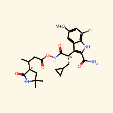 COc1cc(Cl)c2[nH]c(C(N)=O)c([C@H](CC3CC3)C(=O)NOC(=O)CC(C)[C@H]3CC(C)(C)NC3=O)c2c1